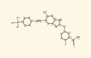 Cc1ccc(Oc2nc3cc(C#Cc4ccc(C(F)(F)F)cc4)c(Cl)cc3[nH]2)cc1C(=O)O